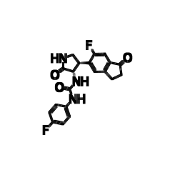 O=C(Nc1ccc(F)cc1)N[C@@H]1C(=O)NC[C@H]1c1cc2c(cc1F)C(=O)CC2